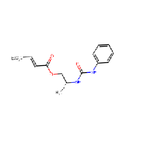 CCOC(=O)/C=C/C(=O)OC[C@@H](C)NC(=O)Nc1ccccc1